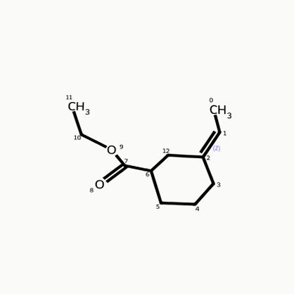 C/C=C1/CCCC(C(=O)OCC)C1